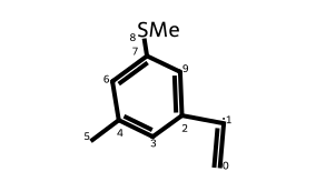 C=[C]c1cc(C)cc(SC)c1